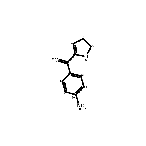 O=C(C1=CCCO1)c1ccc([N+](=O)[O-])cc1